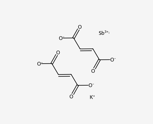 O=C([O-])C=CC(=O)[O-].O=C([O-])C=CC(=O)[O-].[K+].[Sb+3]